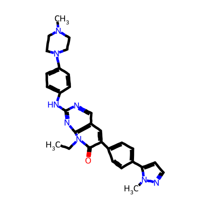 CCn1c(=O)c(-c2ccc(-c3ccnn3C)cc2)cc2cnc(Nc3ccc(N4CCN(C)CC4)cc3)nc21